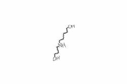 OCCCCCNCCCO